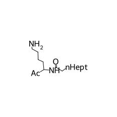 CCCCCCCCC(=O)NC(CCCCN)C(C)=O